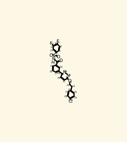 O=C(NS(=O)(=O)c1ccc(F)c(F)c1)c1cccc(-c2ccc(OCCc3ccc(Cl)cc3)nn2)c1